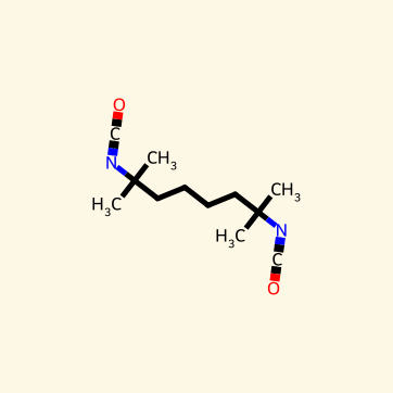 CC(C)(CCCCC(C)(C)N=C=O)N=C=O